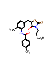 COc1ccc(CC2SC(=S)N(CCC(=O)O)C2=O)cc1NC(=O)c1ccc(C(F)(F)F)cc1